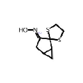 O/N=C1\CC2CC2C12SCCS2